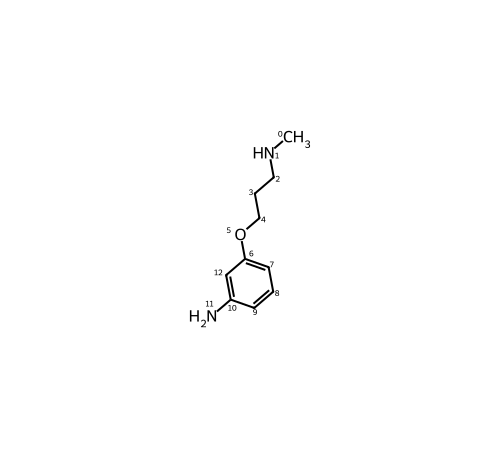 CNCCCOc1cccc(N)c1